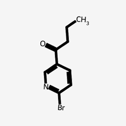 CCCC(=O)c1ccc(Br)nc1